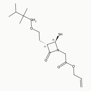 C=CCOC(=O)CN1C(=O)[C@H](CCO[SiH2]C(C)(C)C(C)C)[C@H]1S